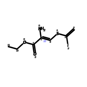 C=C(I)S/C=C(\N)C(=O)OCC